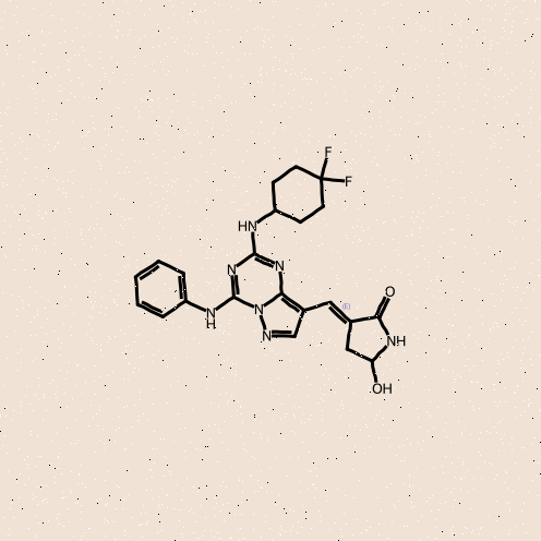 O=C1NC(O)C/C1=C\c1cnn2c(Nc3ccccc3)nc(NC3CCC(F)(F)CC3)nc12